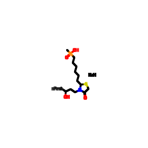 CCCCCC(O)CCN1C(=O)CSC1CCCCCCP(C)(=O)O.[NaH]